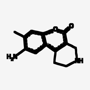 Cc1cc2oc(=O)c3c(c2cc1N)CCNC3